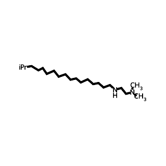 CC(C)CCCCCCCCCCCCCCCNCCN(C)C